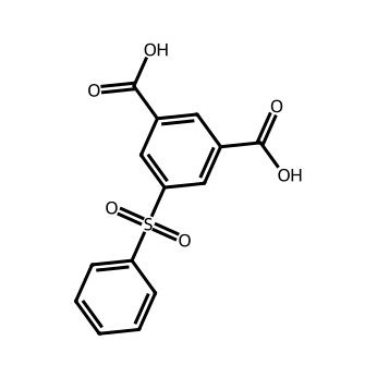 O=C(O)c1cc(C(=O)O)cc(S(=O)(=O)c2ccccc2)c1